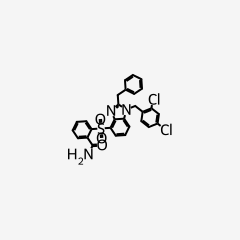 NC(=O)c1ccccc1S(=O)(=O)c1cccc2c1nc(Cc1ccccc1)n2Cc1ccc(Cl)cc1Cl